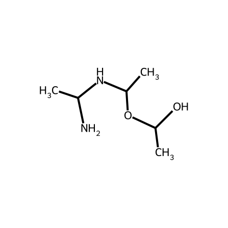 CC(N)NC(C)OC(C)O